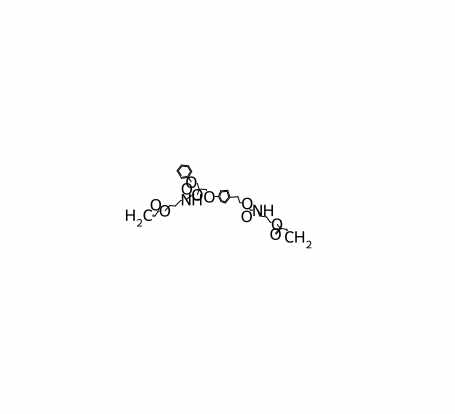 C=CC(=O)OCCCNC(=O)OCCc1ccc(OCC(COc2ccccc2)OC(=O)NCCCOC(=O)C=C)cc1